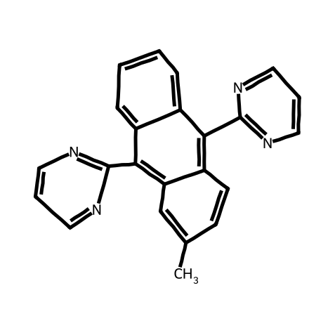 Cc1ccc2c(-c3ncccn3)c3ccccc3c(-c3ncccn3)c2c1